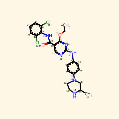 CCOc1nc(Nc2ccc(N3CCNC(C)C3)cc2)ncc1C(=O)Nc1c(Cl)cccc1Cl